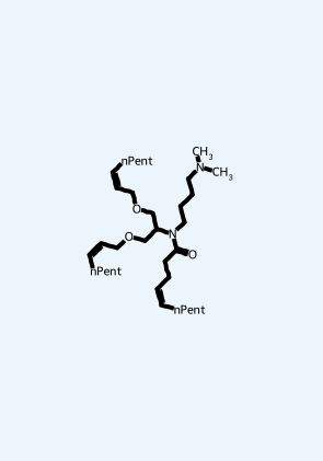 CCCCC/C=C\CCC(=O)N(CCCCN(C)C)C(COC/C=C\CCCCC)COC/C=C\CCCCC